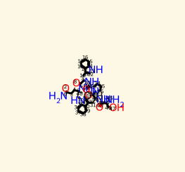 NC(=O)CC[C@H](NC(=O)[C@H](Cc1c[nH]c2ccccc12)NC(=O)[C@@H]1CCCN1C(=O)[C@H](Cc1c[nH]c2ccccc12)NC(=O)[C@@H](N)CO)C(=O)O